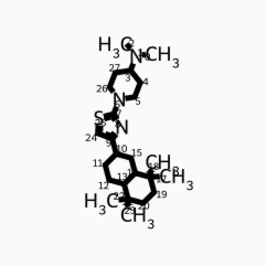 CN(C)C1CCN(c2nc(C3CCC4C(C3)C(C)(C)CCC4(C)C)cs2)CC1